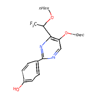 CCCCCCCCCCOc1cnc(-c2ccc(O)cc2)nc1C(OCCCCCC)C(F)(F)F